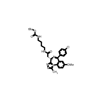 COc1ccc2c(c1)C(c1ccc(Cl)cc1)=N[C@@H](CC(=O)NCCCCNC(=O)OC(C)(C)C)c1nnc(C)n1-2